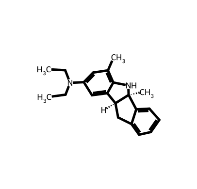 CCN(CC)c1cc(C)c2c(c1)[C@@H]1Cc3ccccc3[C@]1(C)N2